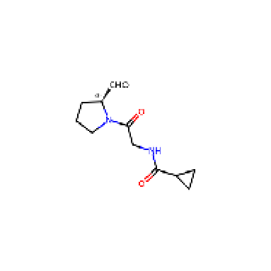 O=C[C@@H]1CCCN1C(=O)CNC(=O)C1CC1